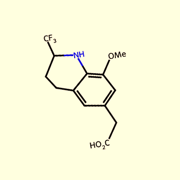 COc1cc(CC(=O)O)cc2c1NC(C(F)(F)F)CC2